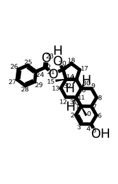 C[C@]12C=CC(O)CC1CC[C@@H]1[C@@H]2CC[C@@]2(C)[C@H]1CCC2(O)OC(=O)c1ccccc1